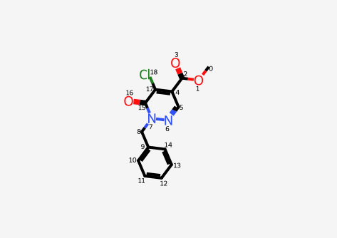 COC(=O)c1cnn(Cc2ccccc2)c(=O)c1Cl